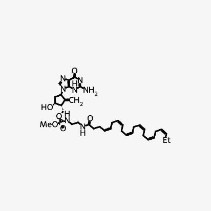 C=C1C(n2cnc3c(=O)nc(N)[nH]c32)C[C@H](O)[C@H]1COP(=O)(NCCNC(=O)CC/C=C\C/C=C\C/C=C\C/C=C\C/C=C\C/C=C\CC)OC